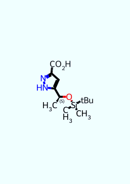 C[C@H](O[Si](C)(C)C(C)(C)C)c1cc(C(=O)O)n[nH]1